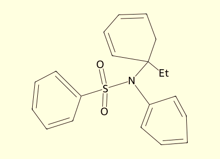 CCC1(N(c2ccccc2)S(=O)(=O)c2ccccc2)C=CC=CC1